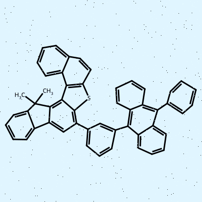 CC1(C)c2ccccc2-c2cc(-c3cccc(-c4c5ccccc5c(-c5ccccc5)c5ccccc45)c3)c3sc4ccc5ccccc5c4c3c21